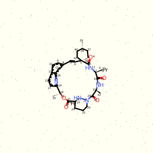 CC(C)[C@@H]1NC(=O)[C@]2(/C=C/c3ccc4ccc(nc4c3)[C@@H](C)OC(=O)[C@@H]3CCCN(N3)C(=O)[C@H](C)NC1=O)CC[C@@H](C)CC2